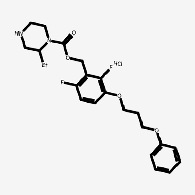 CCC1CNCCN1C(=O)OCc1c(F)ccc(OCCCOc2ccccc2)c1F.Cl